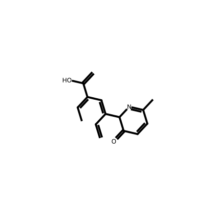 C=C/C(=C\C(=C/C)C(=C)O)C1N=C(C)C=CC1=O